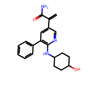 C=C(C(N)=O)c1cnc(NC2CCC(O)CC2)c(-c2ccccc2)c1